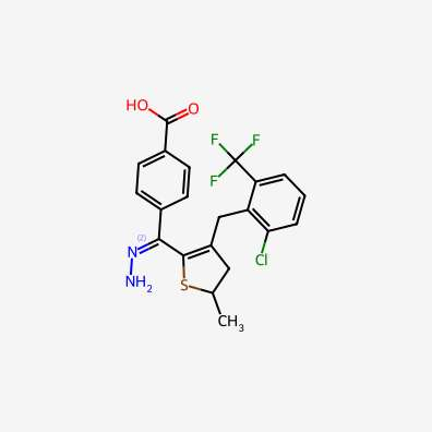 CC1CC(Cc2c(Cl)cccc2C(F)(F)F)=C(/C(=N\N)c2ccc(C(=O)O)cc2)S1